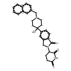 O=C1CCC(N2Cc3cc(C4(O)CCN(Cc5ccc6ccccc6c5)CC4)ccc3C2=O)C(=O)N1